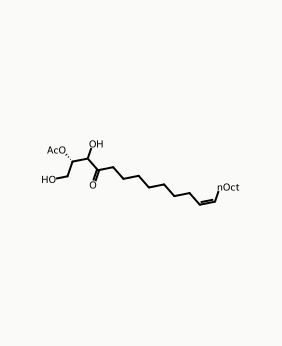 CCCCCCCC/C=C\CCCCCCCC(=O)C(O)[C@H](CO)OC(C)=O